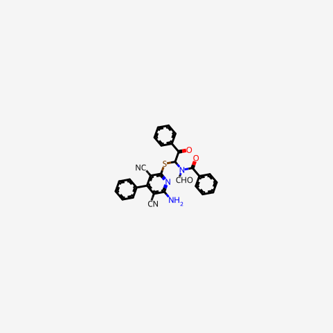 N#Cc1c(N)nc(SC(C(=O)c2ccccc2)N(C=O)C(=O)c2ccccc2)c(C#N)c1-c1ccccc1